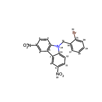 O=[N+]([O-])c1ccc2c(c1)c1cc([N+](=O)[O-])ccc1n2Cc1ccccc1Br